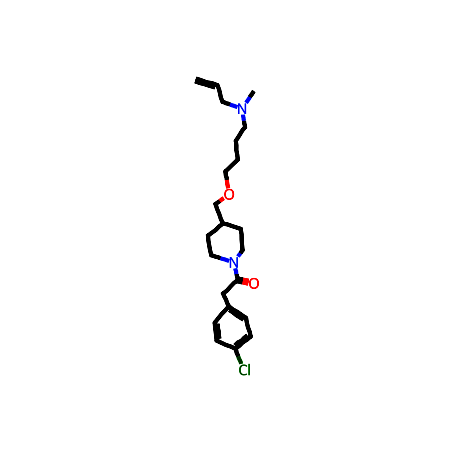 C=CCN(C)CCCCOCC1CCN(C(=O)Cc2ccc(Cl)cc2)CC1